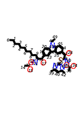 CCCCCCCCCC/C(=N\OC(C)=O)C(=O)c1ccc2c(c1)c1cc(C(=O)/C(=N/OC(C)=O)Sc3nc(C)cc(C)n3)ccc1n2CC